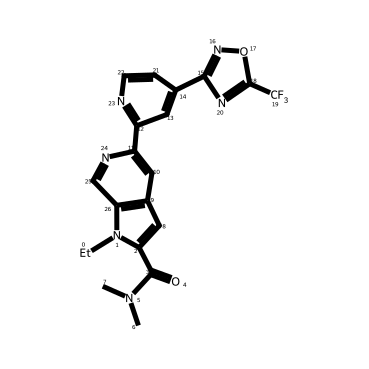 CCn1c(C(=O)N(C)C)cc2cc(-c3cc(-c4noc(C(F)(F)F)n4)ccn3)ncc21